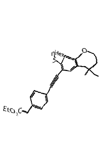 CCCCCCSc1cc2c(cc1C#Cc1ccc(CC(=O)OCC)cc1)C(C)(C)CCO2